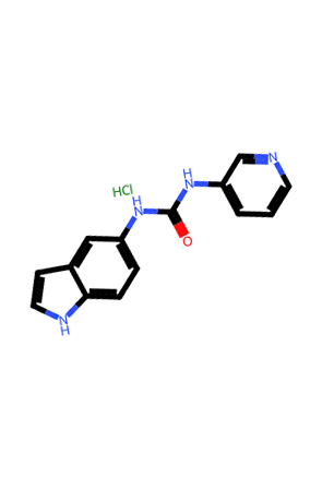 Cl.O=C(Nc1cccnc1)Nc1ccc2[nH]ccc2c1